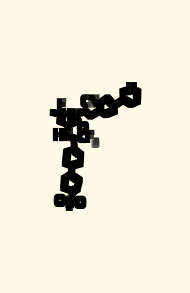 CC(C)(F)C[C@H](N[C@@H](c1ccc(-c2ccc(S(C)(=O)=O)cc2)cc1)C(F)(F)F)C(=O)N[C@H](C#N)Cc1ccc(-c2cccnc2)cc1